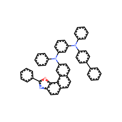 c1ccc(-c2ccc(N(c3ccccc3)c3cccc(N(c4ccccc4)c4ccc5ccc6ccc7nc(-c8ccccc8)oc7c6c5c4)c3)cc2)cc1